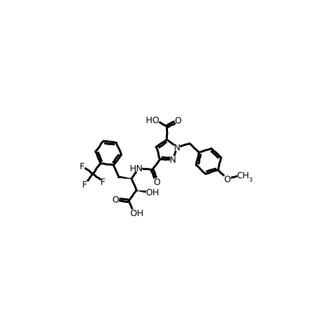 COc1ccc(Cn2nc(C(=O)N[C@H](Cc3ccccc3C(F)(F)F)[C@@H](O)C(=O)O)cc2C(=O)O)cc1